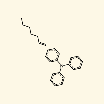 C=CCCCCC.c1ccc(N(c2ccccc2)c2ccccc2)cc1